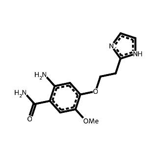 COc1cc(C(N)=O)c(N)cc1OCCc1ncc[nH]1